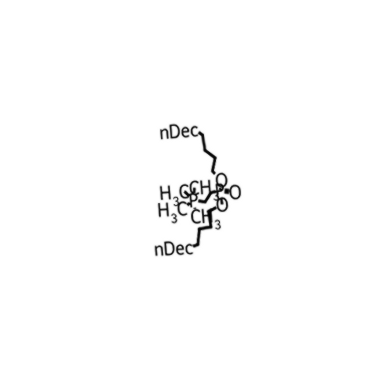 CCCCCCCCCCCCCCOP(=O)(CCP(C)(C)(C)C)OCCCCCCCCCCCCCC